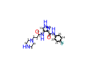 O=C(CCN1CCNCC1)Nc1c[nH]nc1C(=O)Nc1ccc(F)cc1